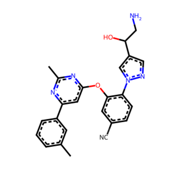 Cc1cccc(-c2cc(Oc3cc(C#N)ccc3-n3cc(C(O)CN)cn3)nc(C)n2)c1